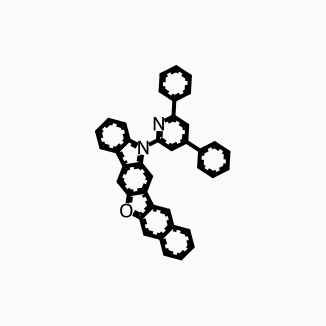 c1ccc(-c2cc(-c3ccccc3)nc(-n3c4ccccc4c4cc5oc6cc7ccccc7cc6c5cc43)c2)cc1